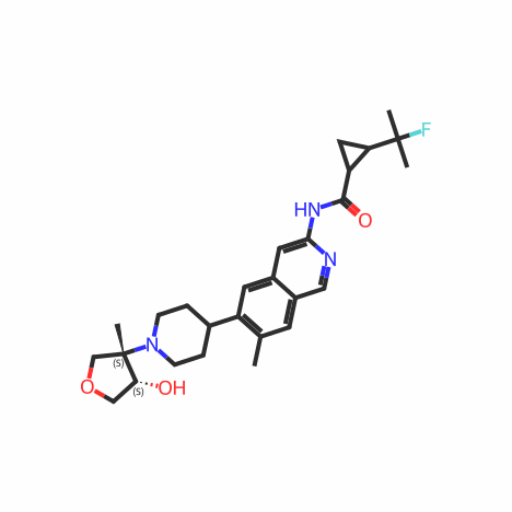 Cc1cc2cnc(NC(=O)C3CC3C(C)(C)F)cc2cc1C1CCN([C@@]2(C)COC[C@H]2O)CC1